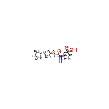 O=C(COc1ccc(-c2ccccc2)cc1)Nc1cccc(C(=O)O)c1